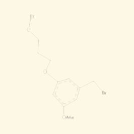 CCOCCCOc1cc(CBr)cc(OC)c1